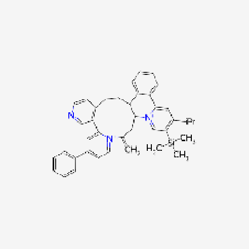 C=C1CC2C(CCc3ccncc3-c3cc(-c4ccccc4)cc[n+]31)c1ccccc1-c1cc(C(C)C)c([Si](C)(C)C)c[n+]12